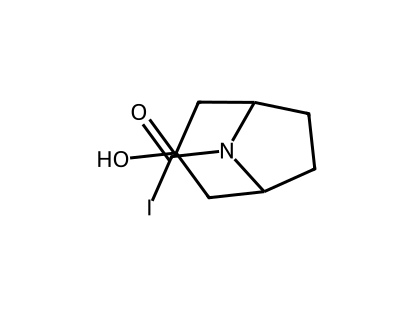 O=C(I)N1C2CCC1CC(O)C2